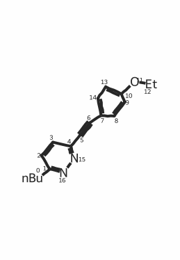 CCCCc1ccc(C#Cc2ccc(OCC)cc2)nn1